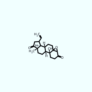 C=CC1CC(=O)[C@@]2(C)CC[C@@H]3[C@@H](CCC45OC4C(=O)CC[C@]35C)[C@H]12